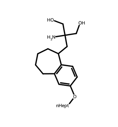 CCCCCCCOc1ccc2c(c1)CCCCC2CC(N)(CO)CO